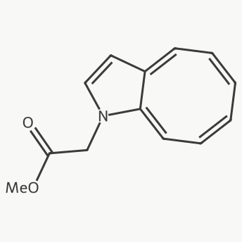 COC(=O)Cn1ccc2c1=CC=CC=CC=2